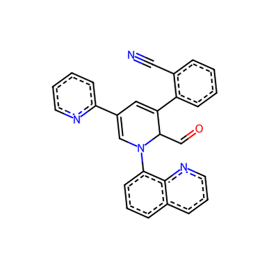 N#Cc1ccccc1C1=CC(c2ccccn2)=CN(c2cccc3cccnc23)C1C=O